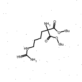 CC(C)(C)OC(=O)C(N)(CCCCNC(=N)N)C(=O)OC(C)(C)C